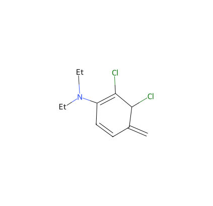 C=C1C=CC(N(CC)CC)=C(Cl)C1Cl